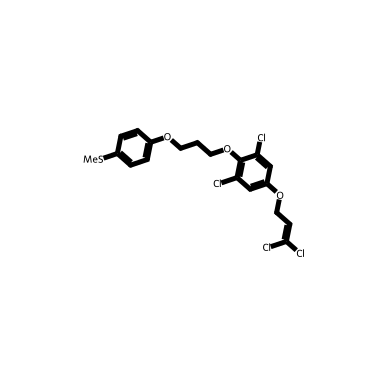 CSc1ccc(OCCCOc2c(Cl)cc(OCC=C(Cl)Cl)cc2Cl)cc1